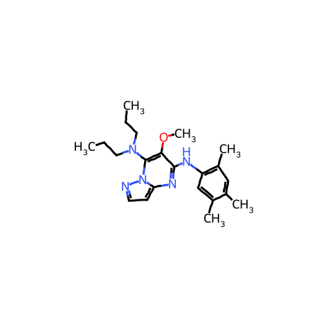 CCCN(CCC)c1c(OC)c(Nc2cc(C)c(C)cc2C)nc2ccnn12